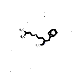 C/C=C(\CCCCC=C(C)C)CC1CC2C=CC1C2